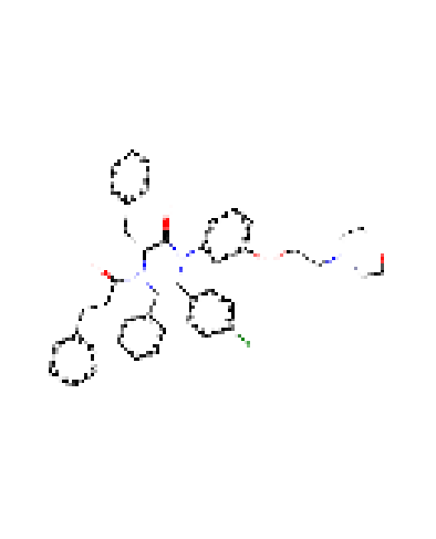 O=C([C@H](Cc1ccccc1)N(Cc1ccccc1)C(=O)CCc1ccccc1)N(Cc1ccc(F)cc1)c1cccc(OCCN2CCOCC2)c1